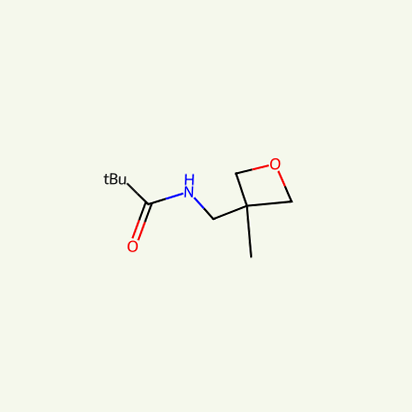 CC1(CNC(=O)C(C)(C)C)COC1